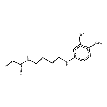 Cc1ccc(NCCCCNC(=O)CI)cc1O